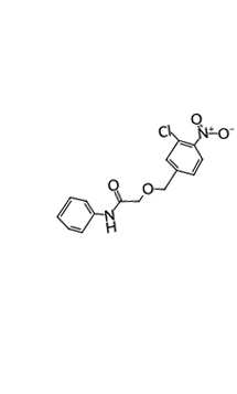 O=C(COCc1ccc([N+](=O)[O-])c(Cl)c1)Nc1ccccc1